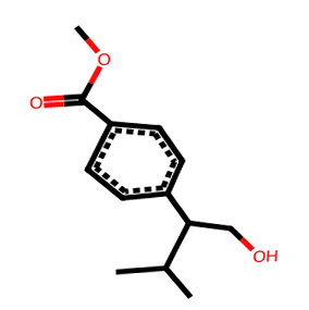 COC(=O)c1ccc(C(CO)C(C)C)cc1